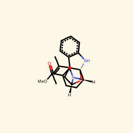 C/C=C(/C)CN1[C@H]2CCC(C(=O)OC)C34C[C@H]1O[C@]23Nc1ccccc14